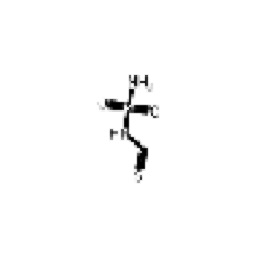 NS(=O)(=O)NC=S